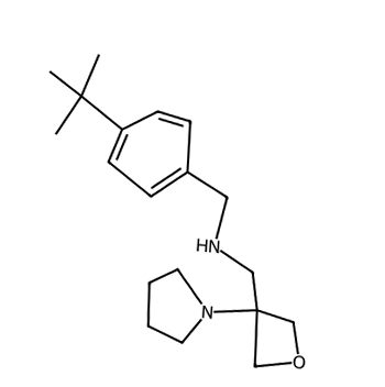 CC(C)(C)c1ccc(CNCC2(N3CCCC3)COC2)cc1